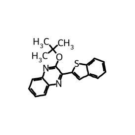 CC(C)(C)Oc1nc2ccccc2nc1-c1cc2ccccc2s1